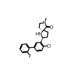 CN1CC[C@@]2(CC[C@@H](c3cc(-c4ccccc4F)ccc3Cl)N2)C1=O